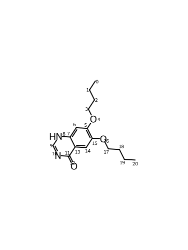 CCCCOc1cc2[nH]cnc(=O)c2cc1OCCCC